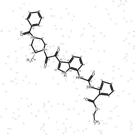 CCOC(=O)c1ccccc1NC(=O)Nc1cccc2c(C(=O)C(=O)N3CCN(C(=O)c4ccccc4)C[C@H]3C)c[nH]c12